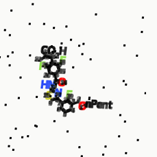 CCCCCOCc1cccc(-c2csc(NC(=O)c3cc(F)c(C=C(C)C(=O)O)c(F)c3)n2)c1F